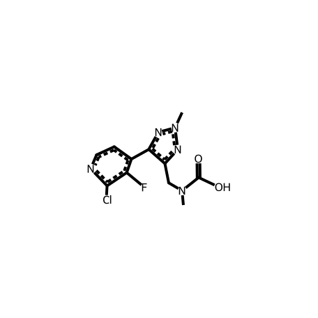 CN(Cc1nn(C)nc1-c1ccnc(Cl)c1F)C(=O)O